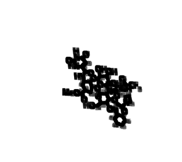 COC(=O)C1CC(NC(=O)c2cc(=O)[nH]c(=O)[nH]2)C(O[C@@H]2OC(C)[C@@H](O)C(O)C2O)[C@H](O[C@@H]2OC(CO)[C@H](O)C(O[C@@H](CC3CCCCC3)C(=O)N3CCC3)C2NC(=O)CNC(=O)C(F)(F)F)C1